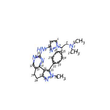 CN(C)CCn1ccc(Nc2ncc3c(n2)-c2c(nn(C)c2-c2ccccc2)CC3)n1